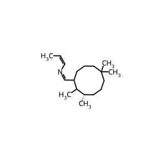 C/C=C\N=C/C1CCCC(C)(C)CCC[C@H](C)C1C